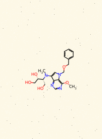 COc1ncnc2c(N(C)[C@H](CO)[C@@H](O)CO)cn(COCc3ccccc3)c12